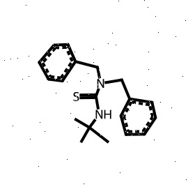 CC(C)(C)NC(=S)N(Cc1ccccc1)Cc1ccccc1